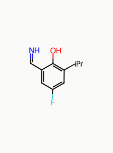 CC(C)c1cc(F)cc(C=N)c1O